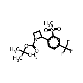 CC(C)(C)OC(=O)N1CCC1c1ccc(C(F)(F)F)cc1S(C)(=O)=O